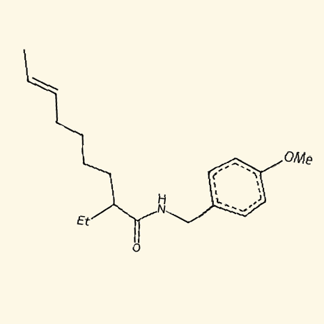 CC=CCCCCC(CC)C(=O)NCc1ccc(OC)cc1